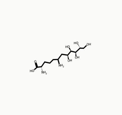 NC(CCC[C@H](N)C(=O)O)C[C@H](O)[C@@H](O)[C@H](O)[C@H](O)CO